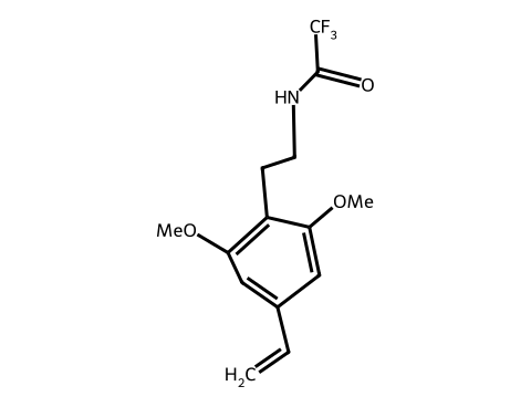 C=Cc1cc(OC)c(CCNC(=O)C(F)(F)F)c(OC)c1